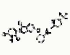 O=C1CC[C@H](N2Cc3cc(O[C@H]4CCCC[C@H]4N4CC(c5ccc(C(F)(F)F)cn5)C4)ccc3C2=O)C(=O)N1